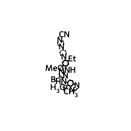 CCc1cc(Nc2ncc(Br)c(Nc3ccc4nccnc4c3P(C)C)n2)c(OC)cc1N1CCC(N2CCN(CC#N)CC2)CC1